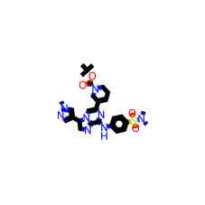 CN(C)S(=O)(=O)c1ccc(NC2=NC(C3=CCCN(C(=O)OC(C)(C)C)C3)=CN3C2=NCC3c2cnn(C)c2)cc1